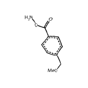 COCc1ccc(C(=O)ON)cc1